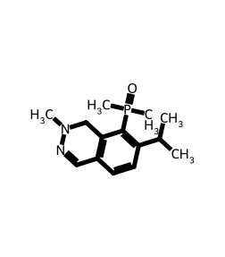 CC(C)c1ccc2c(c1P(C)(C)=O)CN(C)N=C2